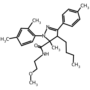 CCCCC1C(c2ccc(C)cc2)=NN(c2ccc(C)cc2C)C1(C)C(=O)NCCOC